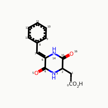 O=C(O)CC1NC(=O)C(=Cc2ccccc2)NC1=O